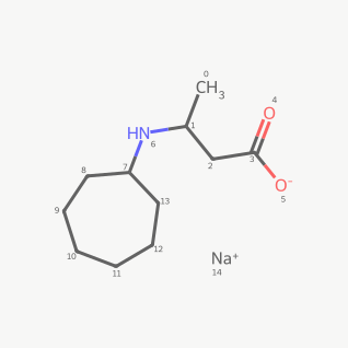 CC(CC(=O)[O-])NC1CCCCCC1.[Na+]